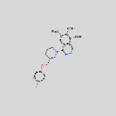 COc1cc2c(N3CCCC(COc4ccc(F)cc4)C3)nncc2c(OC)c1OC